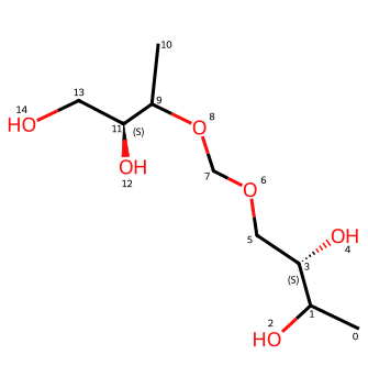 CC(O)[C@@H](O)COCOC(C)[C@@H](O)CO